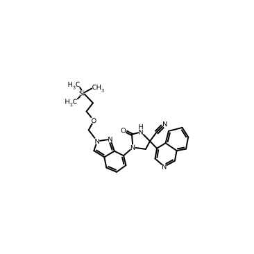 C[Si](C)(C)CCOCn1cc2cccc(N3CC(C#N)(c4cncc5ccccc45)NC3=O)c2n1